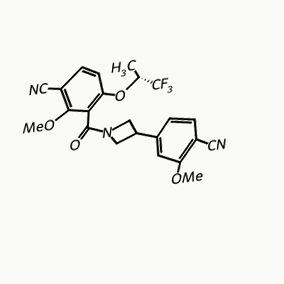 COc1cc(C2CN(C(=O)c3c(O[C@H](C)C(F)(F)F)ccc(C#N)c3OC)C2)ccc1C#N